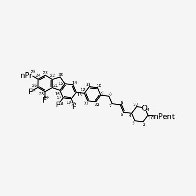 CCCCCC1CCC(/C=C/CCc2ccc(-c3cc4c(c(F)c3F)-c3c(cc(CCC)c(F)c3F)C4)cc2)CO1